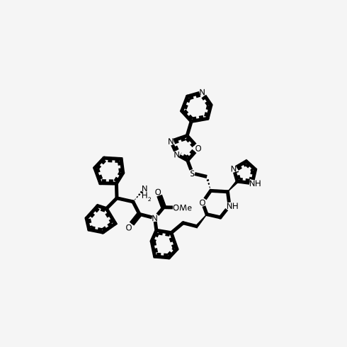 COC(=O)N(C(=O)[C@@H](N)C(c1ccccc1)c1ccccc1)c1ccccc1CC[C@@H]1CN[C@H](c2ncc[nH]2)[C@@H](CSc2nnc(-c3ccncc3)o2)O1